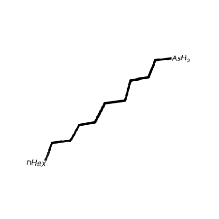 CCCCCCCCCCCCCCC[AsH2]